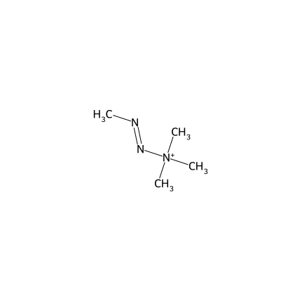 C/N=N/[N+](C)(C)C